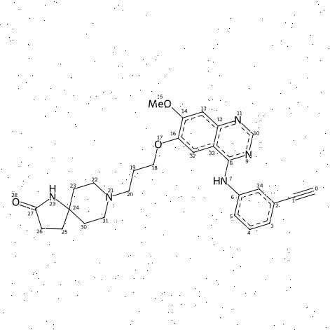 C#Cc1cccc(Nc2ncnc3cc(OC)c(OCCCN4CCC5(CCC(=O)N5)CC4)cc23)c1